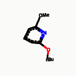 CCCCOc1cccc(OC)n1